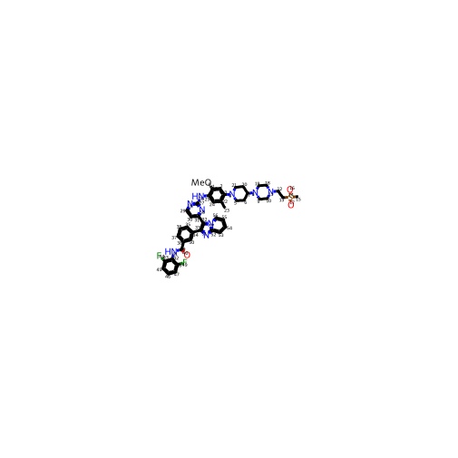 COc1cc(N2CCC(N3CCN(CCS(C)(=O)=O)CC3)CC2)c(C)cc1Nc1nccc(-c2c(-c3cccc(C(=O)Nc4c(F)cccc4F)c3)nc3ccccn23)n1